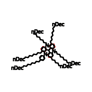 CCCCCCCCCCCCCCCCCCc1ccc(N(CCCCCCCCCCCCCCCCCC)c2ccccc2C(c2ccccc2N(CCCCCCCCCCCCCCCCCC)c2ccc(CCCCCCCCCCCCCCCCCC)cc2)c2ccccc2N(CCCCCCCCCCCCCCCCCC)c2ccc(CCCCCCCCCCCCCCCCCC)cc2)cc1